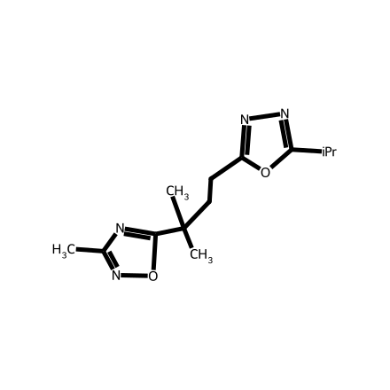 Cc1noc(C(C)(C)CCc2nnc(C(C)C)o2)n1